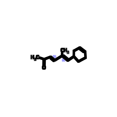 CC(=O)/C=C/C(C)=C/C1CC=CCC1